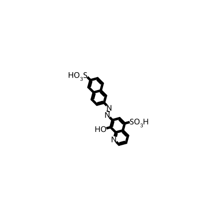 O=S(=O)(O)c1ccc2cc(/N=N/c3cc(S(=O)(=O)O)c4cccnc4c3O)ccc2c1